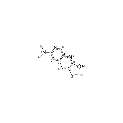 CN(C)c1[c]c2nc3c(nc2cc1)OCC3